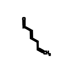 C=CC/C=C/N=O